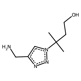 CC(C)(CCO)n1cc(CN)nn1